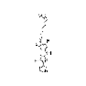 CCCCCCCCOc1c(F)cc(Nc2nc(-c3cccnc3)c(F)s2)cc1F